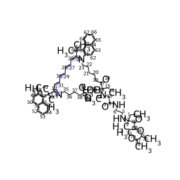 CCC(C)(NCCNC(=O)CN(C)C(C)(CC)C(=O)CCCCCN1\C(=C/C=C/C=C/C=C/C(=N\CCCCS(=O)(=O)O)C(C)(C)c2c(C)ccc3ccccc23)C(C)(C)c2c1ccc1ccccc21)C(=O)[C@H](C)OC(C)C(C)=O